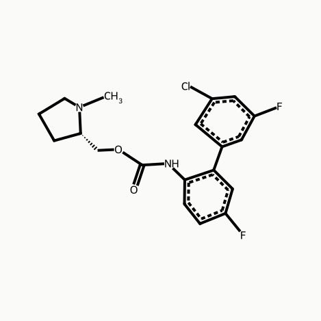 CN1CCC[C@H]1COC(=O)Nc1ccc(F)cc1-c1cc(F)cc(Cl)c1